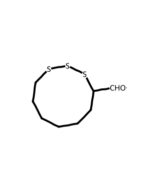 O=[C]C1CCCCCCSSS1